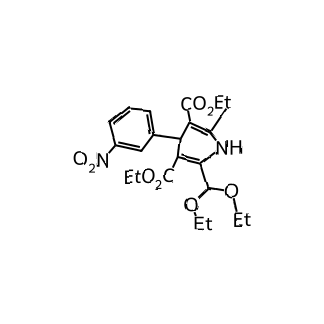 CCOC(=O)C1=C(C)NC(C(OCC)OCC)=C(C(=O)OCC)C1c1cccc([N+](=O)[O-])c1